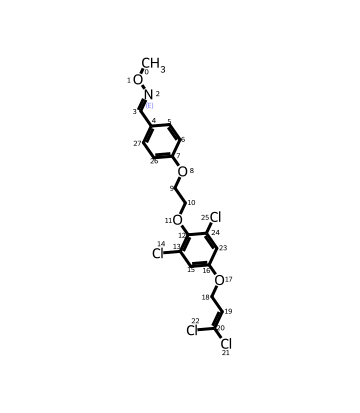 CO/N=C/c1ccc(OCCOc2c(Cl)cc(OCC=C(Cl)Cl)cc2Cl)cc1